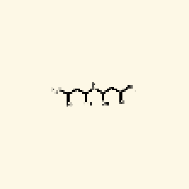 N=C(N)CC(O)NC(O)CC(=N)N